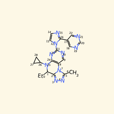 CCC1c2nnc(C)n2-c2cnc(-n3ccnc3-c3cncnc3)nc2N1C1CC1